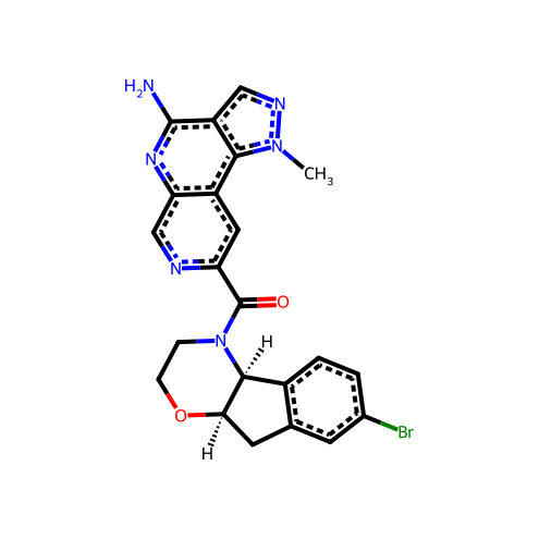 Cn1ncc2c(N)nc3cnc(C(=O)N4CCO[C@@H]5Cc6cc(Br)ccc6[C@@H]54)cc3c21